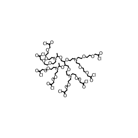 CC(OCC(OCCN(CCOCCOCC(=O)Cl)CCOCCOCC(=O)Cl)C(COCCN(CCOOCC(=O)Cl)CCOOCC(=O)Cl)OC(C)N(CCOOCC(=O)Cl)CCOOCC(=O)Cl)N(CCOCCOCC(=O)Cl)CCOCCOCC(=O)Cl